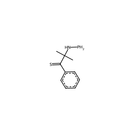 CC(C)(NP)C(=S)c1ccccc1